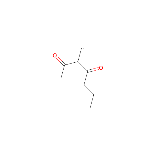 [CH2]C(C(C)=O)C(=O)CCC